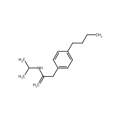 C=C(Cc1ccc(CCCC)cc1)NC(C)C